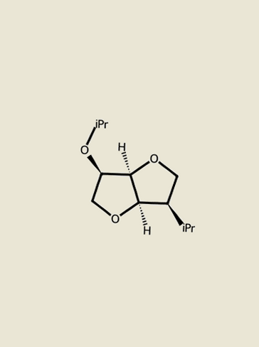 CC(C)O[C@@H]1CO[C@H]2[C@@H]1OC[C@H]2C(C)C